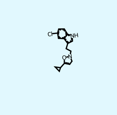 Clc1ccc2[nH]cc(CCN3CC=C(C4CC4)O3)c2c1